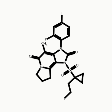 Cc1c(=O)n2c(c3c1n(-c1ccc(I)cc1F)c(=O)n3S(=O)(=O)C1(CCI)CC1)CCC2